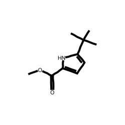 COC(=O)c1ccc(C(C)(C)C)[nH]1